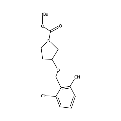 CC(C)(C)OC(=O)N1CCC(OCc2c(Cl)cccc2C#N)C1